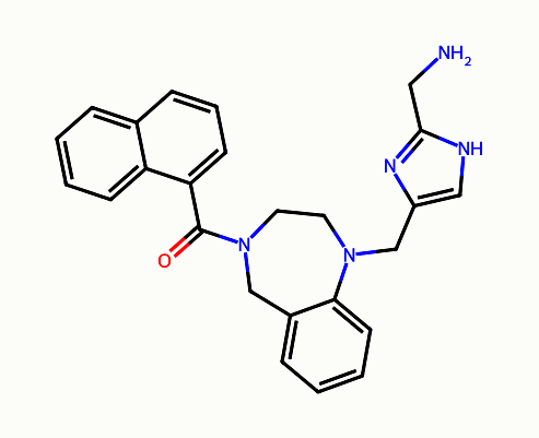 NCc1nc(CN2CCN(C(=O)c3cccc4ccccc34)Cc3ccccc32)c[nH]1